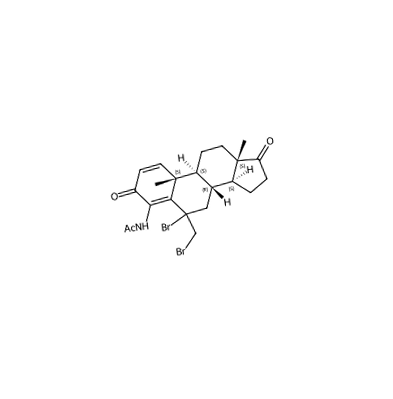 CC(=O)NC1=C2C(Br)(CBr)C[C@@H]3[C@H](CC[C@]4(C)C(=O)CC[C@@H]34)[C@@]2(C)C=CC1=O